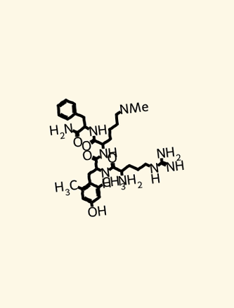 CNCCCCC(NC(=O)C(Cc1c(C)cc(O)cc1C)NC(=O)C(N)CCCNC(=N)N)C(=O)NC(Cc1ccccc1)C(N)=O